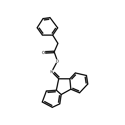 O=C(Cc1ccccc1)ON=C1c2ccccc2-c2ccccc21